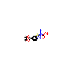 CC1(C)OB(c2ccc3nc(NC(=O)O)sc3c2)OC1(C)C